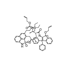 C=CCOC(=O)O[C@H](C)[C@H]1C(=O)N(C(C(=O)OCC=C)=P(c2ccccc2)(c2ccccc2)c2ccccc2)[C@@H]1[C@@H](C)C(=O)Cc1c(CCO[Si](CC)(CC)CC)cc2cccc3c2c1S(=O)(=O)N3